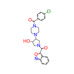 O=C(c1ccc(Cl)cc1)N1CCN(C2CN(C(=O)c3onc4ccccc34)CC2O)CC1